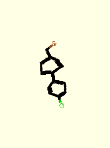 Clc1ccc(-c2ccc(CBr)cc2)cc1